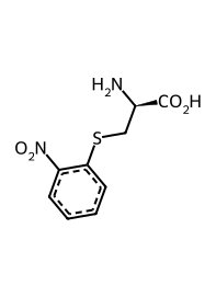 N[C@H](CSc1ccccc1[N+](=O)[O-])C(=O)O